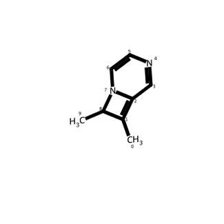 CC1=C2C=NC=CN2C1C